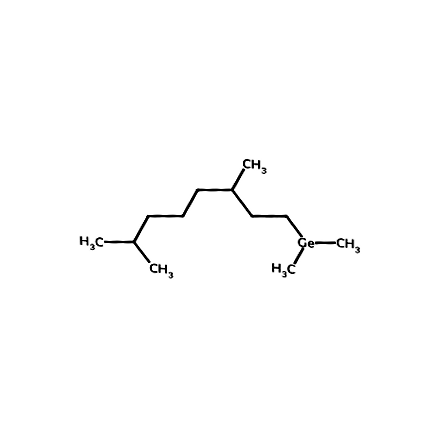 CC(C)CCCC(C)C[CH2][Ge]([CH3])[CH3]